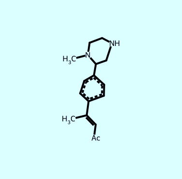 CC(=O)C=C(C)c1ccc(C2CNCCN2C)cc1